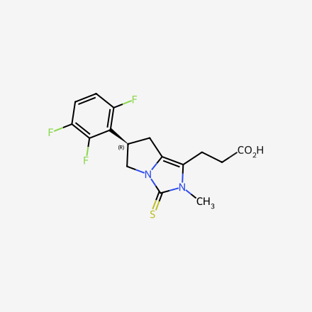 Cn1c(CCC(=O)O)c2n(c1=S)C[C@@H](c1c(F)ccc(F)c1F)C2